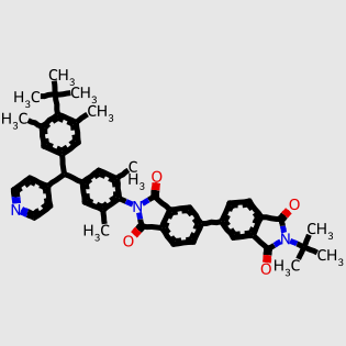 Cc1cc(C(c2ccncc2)c2cc(C)c(C(C)(C)C)c(C)c2)cc(C)c1N1C(=O)c2ccc(-c3ccc4c(c3)C(=O)N(C(C)(C)C)C4=O)cc2C1=O